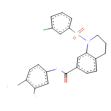 O=C(Nc1ccc(C(=O)O)c(Cl)c1)c1ccc2c(c1)N(S(=O)(=O)c1cccc(F)c1)CCC2